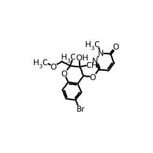 COCC1(C)Oc2ccc(Br)cc2C(Oc2ccc(=O)n(C)n2)C1(C)O